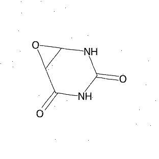 O=C1NC(=O)C2OC2N1